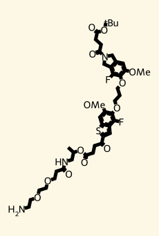 COc1cc2c(c(F)c1OCCCOc1c(OC)cc3sc(C(=O)CCC(=O)OC(C)CNC(=O)CCOCCOCCN)cc3c1F)CN(C(=O)CCC(=O)OC(C)(C)C)C2